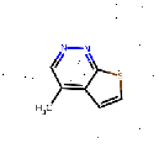 Cc1cnnc2sccc12